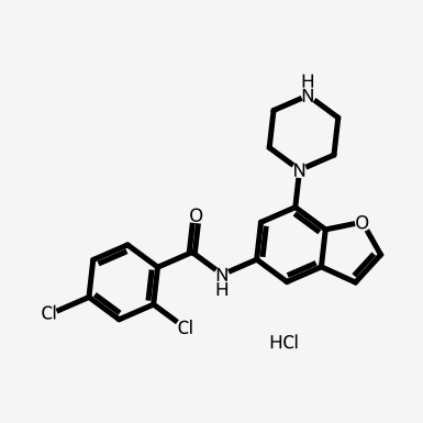 Cl.O=C(Nc1cc(N2CCNCC2)c2occc2c1)c1ccc(Cl)cc1Cl